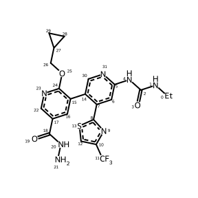 CCNC(=O)Nc1cc(-c2nc(C(F)(F)F)cs2)c(-c2cc(C(=O)NN)cnc2OCC2CC2)cn1